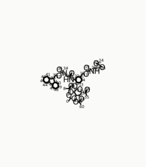 CC(=O)O[C@@H]1[C@@H](OC(C)=O)[C@H](Oc2ccc(COC(=O)NCCS(C)(=O)=O)cc2NC(=O)CN(C)C(=O)OCC2c3ccccc3-c3ccccc32)O[C@H](C(C)=O)[C@H]1OC(C)=O